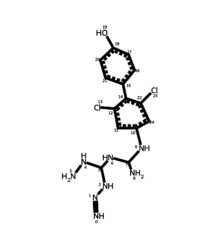 N=NNC(NN)NC(N)Nc1cc(Cl)c(-c2ccc(O)cc2)c(Cl)c1